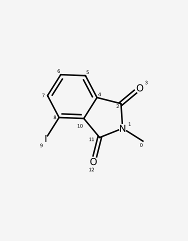 CN1C(=O)c2cccc(I)c2C1=O